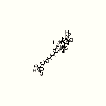 N=C(NCCCCCCOCCCC1OC(=O)NC1=O)NC(=O)c1nc(Cl)c(N)nc1N